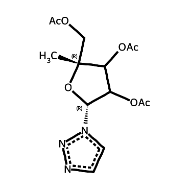 CC(=O)OC[C@@]1(C)O[C@@H](n2ccnn2)C(OC(C)=O)C1OC(C)=O